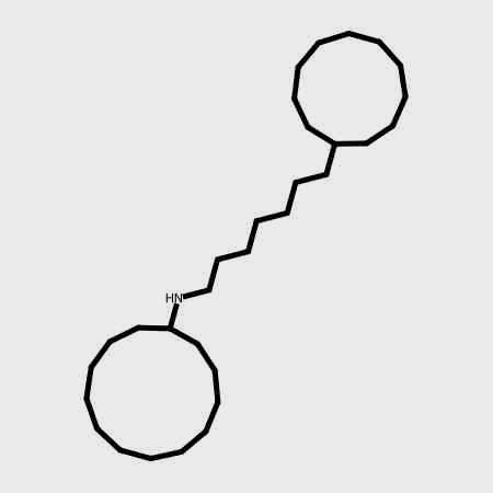 C1CCCCCCC(NCCCCCCCC2CCCCCCCCCC2)CCCCC1